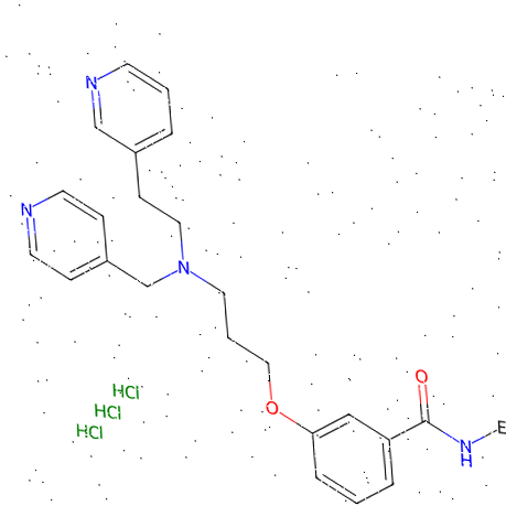 CCNC(=O)c1cccc(OCCCN(CCc2cccnc2)Cc2ccncc2)c1.Cl.Cl.Cl